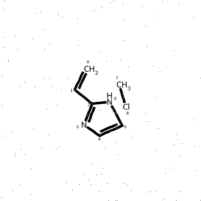 C=Cc1ncc[nH]1.CCl